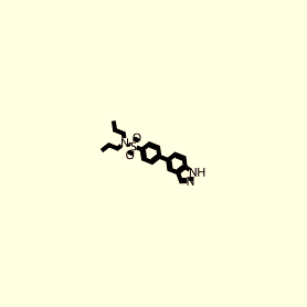 CCCN(CCC)S(=O)(=O)c1ccc(-c2ccc3[nH]ncc3c2)cc1